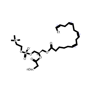 CC/C=C\C/C=C\C/C=C\C/C=C\CCCCC(=O)OC[C@H](COP(=O)([O-])OCC[N+](C)(C)C)OC(=O)CCCCCCCCCCC